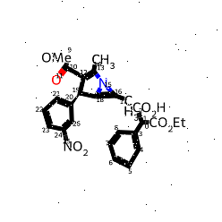 CCOC(=O)C(C(=O)O)c1ccccc1.COC(=O)C1=C(C)N2C(C)=C2[C@H]1c1cccc([N+](=O)[O-])c1